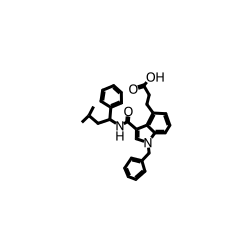 CC(C)CC(NC(=O)c1cn(Cc2ccccc2)c2cccc(CCC(=O)O)c12)c1ccccc1